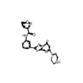 O=C(Nc1cccc(-c2nn3c(=O)cc(N4CCNCC4)nc3s2)c1)c1ccon1